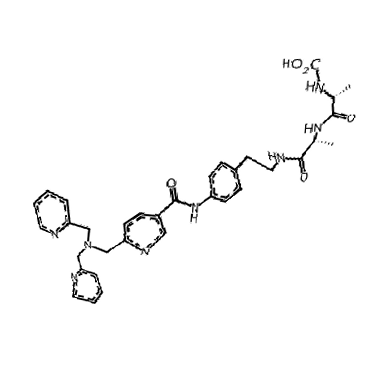 C[C@@H](NC(=O)O)C(=O)N[C@H](C)C(=O)NCCc1ccc(NC(=O)c2ccc(CN(Cc3ccccn3)Cc3ccccn3)nc2)cc1